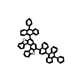 c1ccc(-c2c3ccccc3c(-c3ccc(-c4cc5cc(-c6c7ccccc7c(-c7ccccc7)c7ccccc67)c6oc7ccccc7c6c5c5c4oc4ccccc45)c4ccccc34)c3ccccc23)cc1